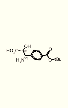 CC(C)(C)OC(=O)c1ccc([C@H](N)[C@@H](O)C(=O)O)cc1